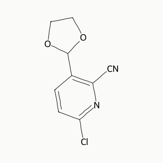 N#Cc1nc(Cl)ccc1C1OCCO1